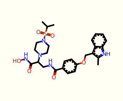 Cc1[nH]c2ccccc2c1COc1ccc(C(=O)NCC(C(=O)NO)N2CCN(S(=O)(=O)C(C)C)CC2)cc1